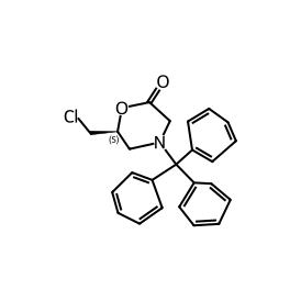 O=C1CN(C(c2ccccc2)(c2ccccc2)c2ccccc2)C[C@@H](CCl)O1